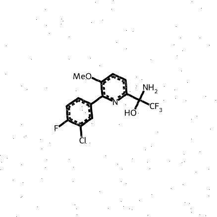 COc1ccc(C(N)(O)C(F)(F)F)nc1-c1ccc(F)c(Cl)c1